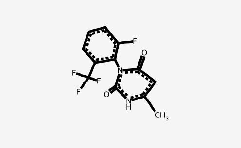 Cc1cc(=O)n(-c2c(F)cccc2C(F)(F)F)c(=O)[nH]1